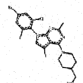 Cc1nc(N2CCC(CO)CC2)c2c(C)cn(-c3c(Cl)cc(Br)cc3Cl)c2n1